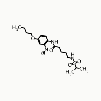 CCCCOc1ccc(NC(=O)CCCCNS(=O)(=O)C(C)C)c(N=O)c1